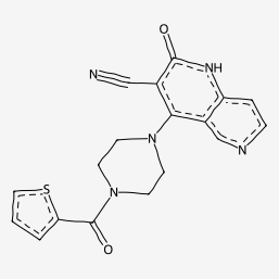 N#Cc1c(N2CCN(C(=O)c3cccs3)CC2)c2cnccc2[nH]c1=O